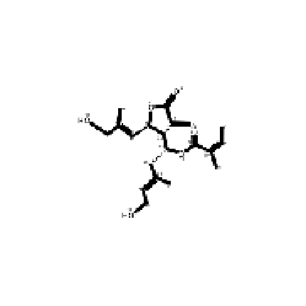 C=C1C(=O)O[C@H](/C=C(\C)CO)[C@H]1[C@@H](C/C(C)=C/CO)OC(=O)/C(C)=C\C